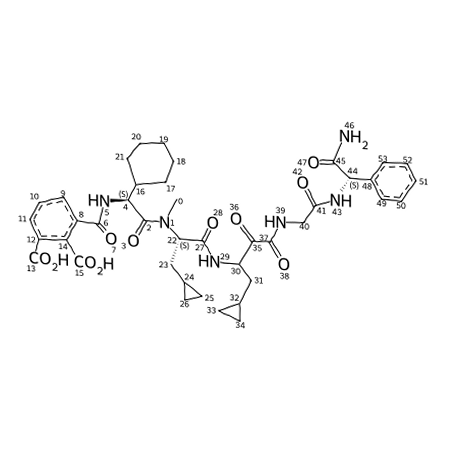 CN(C(=O)[C@@H](NC(=O)c1cccc(C(=O)O)c1C(=O)O)C1CCCCC1)[C@@H](CC1CC1)C(=O)NC(CC1CC1)C(=O)C(=O)NCC(=O)N[C@H](C(N)=O)c1ccccc1